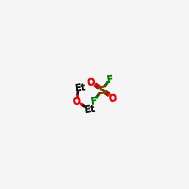 CCOCC.O=S(=O)(F)F